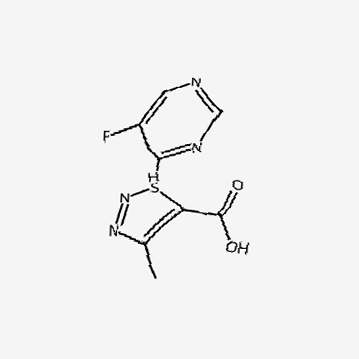 CC1=C(C(=O)O)[SH](c2ncncc2F)N=N1